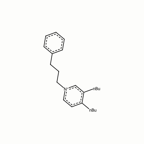 CCCCc1cc[n+](CCCc2ccccc2)cc1CCCC